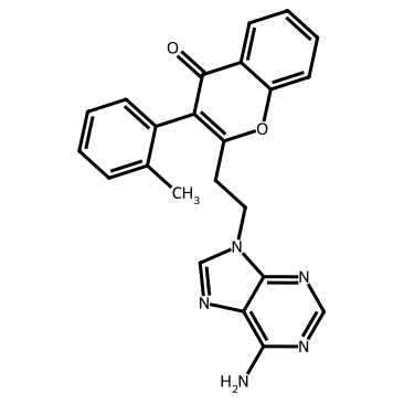 Cc1ccccc1-c1c(CCn2cnc3c(N)ncnc32)oc2ccccc2c1=O